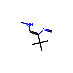 C=N/C(=C\NC)C(C)(C)C